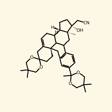 CC1(C)COC2(CC[C@@]34Cc5cc(C6(C)OCC(C)(C)CO6)ccc5C5C[C@@]6(C)[C@@H](CC[C@@]6(O)CC#N)[C@H](CC=C3C2)C54)OC1